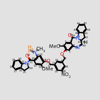 COc1cc2c(cc1OCc1cc(COc3cc(N(C)P)c(C(=O)N4CCc5ccccc54)cc3OC)cc([N+](=O)[O-])c1)N=C[C@@H]1Cc3ccccc3N1C2=O